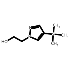 CS(C)(C)c1cnn(CCO)c1